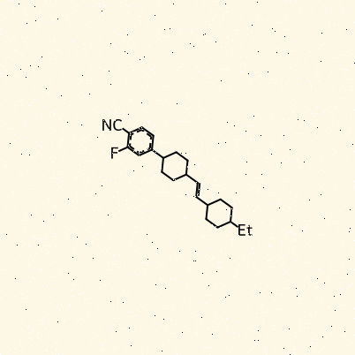 CCC1CCC(C=CC2CCC(c3ccc(C#N)c(F)c3)CC2)CC1